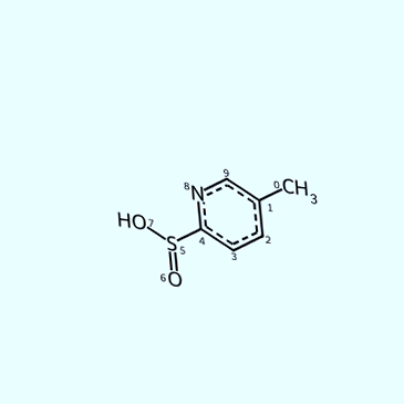 Cc1ccc(S(=O)O)nc1